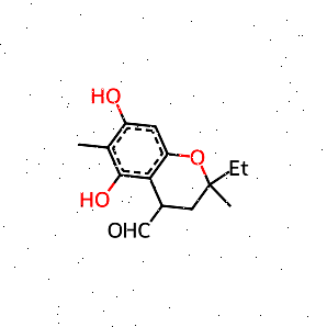 CCC1(C)CC(C=O)c2c(cc(O)c(C)c2O)O1